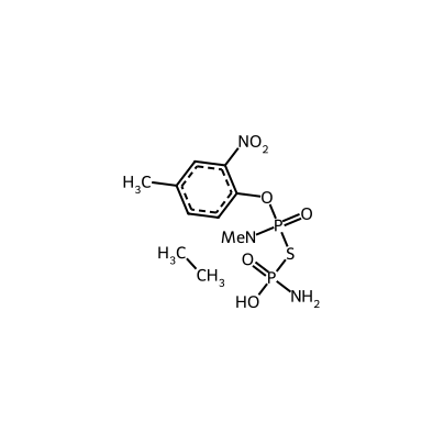 CC.CNP(=O)(Oc1ccc(C)cc1[N+](=O)[O-])SP(N)(=O)O